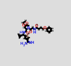 N=C(N)c1csc([C@@H](NC(=O)C2CC3(CN2C(=O)CNC(=O)CCCOc2ccccc2)OCCO3)C2CC2)c1